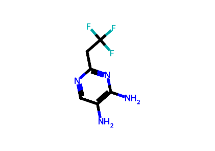 Nc1cnc(CC(F)(F)F)nc1N